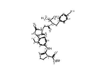 COC(=O)N1CCN=C1Nc1ccc2c(c1)CC[C@@]21OC(=O)N(CC(=O)N(Cc2ccc(F)cc2)[C@@H](C)C(F)(F)F)C1=O